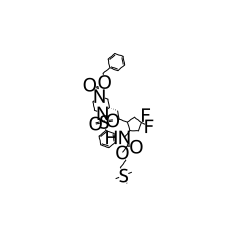 CS(C)(C)CCOC(=O)NC1CC(F)(F)CC1CC[C@H]1CN(C(=O)OCc2ccccc2)CCN1S(=O)(=O)c1ccccc1